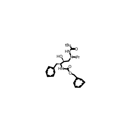 CC(C)N(C[C@H](O)[C@H](Cc1ccccc1)NC(=O)OCc1ccccc1)NC(=O)C(C)(C)C